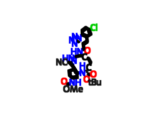 COC(=O)Nc1ccc2c(c1)N[C@@H](C(=O)OC(C)(C)C)CCCC[C@H](NC(=O)/C=C/c1cc(Cl)ccc1-n1cnnn1)c1nc-2c(C#N)[nH]1